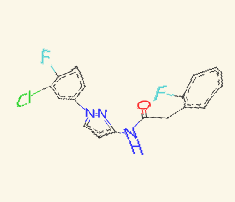 O=C(Cc1ccccc1F)Nc1ccn(-c2ccc(F)c(Cl)c2)n1